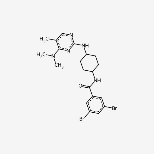 Cc1cnc(NC2CCC(NC(=O)c3cc(Br)cc(Br)c3)CC2)nc1N(C)C